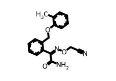 Cc1ccccc1OCc1ccccc1C(=NOCC#N)C(N)=O